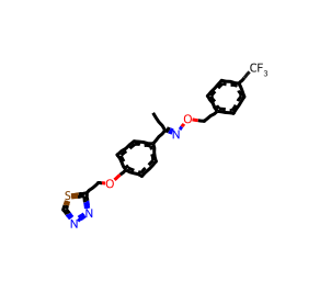 C/C(=N\OCc1ccc(C(F)(F)F)cc1)c1ccc(OCc2nncs2)cc1